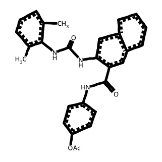 CC(=O)Oc1ccc(NC(=O)c2cc3ccccc3cc2NC(=O)Nc2c(C)cccc2C)cc1